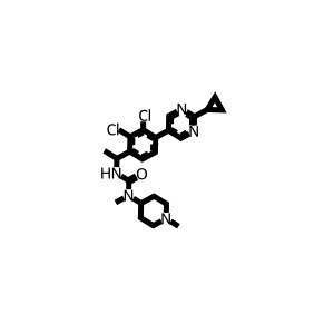 CC(NC(=O)N(C)C1CCN(C)CC1)c1ccc(-c2cnc(C3CC3)nc2)c(Cl)c1Cl